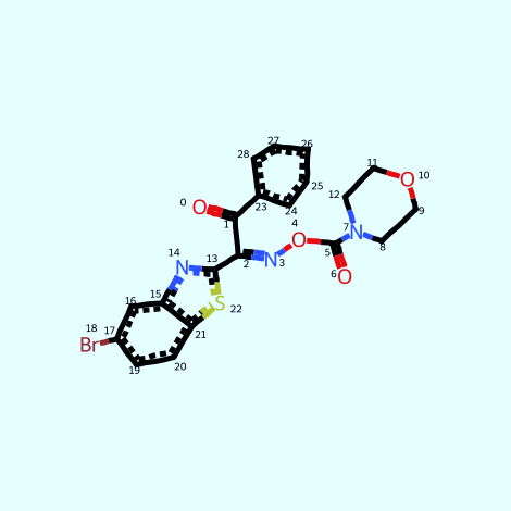 O=C(/C(=N\OC(=O)N1CCOCC1)c1nc2cc(Br)ccc2s1)c1ccccc1